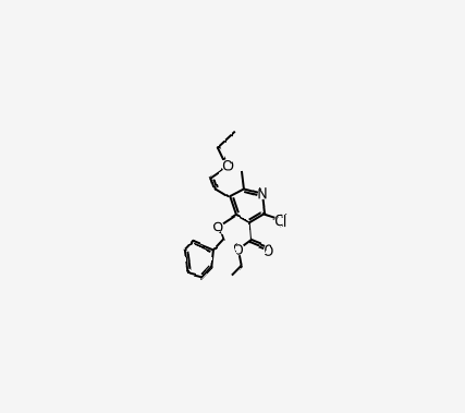 CCO/C=C\c1c(C)nc(Cl)c(C(=O)OCC)c1OCc1ccccc1